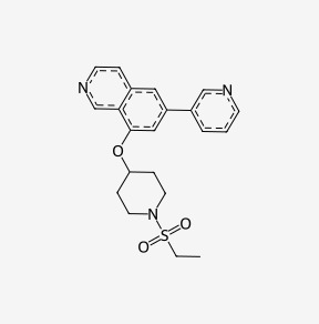 CCS(=O)(=O)N1CCC(Oc2cc(-c3cccnc3)cc3ccncc23)CC1